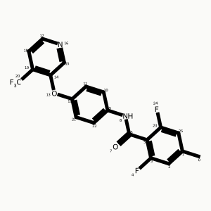 Cc1cc(F)c(C(=O)Nc2ccc(Oc3cnccc3C(F)(F)F)cc2)c(F)c1